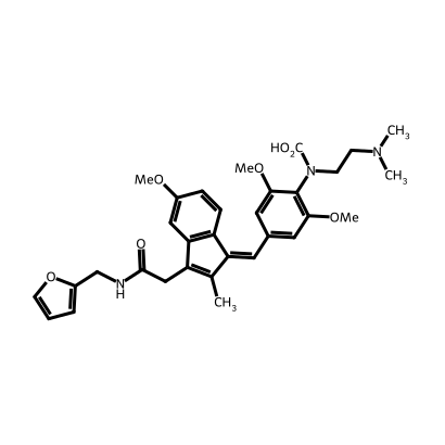 COc1ccc2c(c1)C(CC(=O)NCc1ccco1)=C(C)/C2=C/c1cc(OC)c(N(CCN(C)C)C(=O)O)c(OC)c1